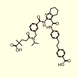 CC(C)N(Cc1cccc(C(=O)Nc2sc3c(c2C(=O)Nc2ccc(CCc4ccc(C(=O)O)cc4)cc2)CCCC3)c1)C(=O)CCC(C)(C)C(=O)O